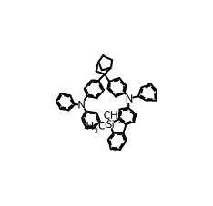 C[Si]1(C)c2ccccc2-c2ccc(N(c3ccccc3)c3ccc(C4(c5ccc(N(c6ccccc6)c6ccccc6)cc5)CC5CCC4C5)cc3)cc21